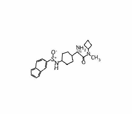 CN(C(=O)[C@@H](N)C1CCC(N[S+]([O-])c2ccc3ccccc3c2)CC1)C1CCC1